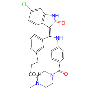 CN1CCN(C(=O)c2ccc(N/C(=C3\C(=O)Nc4cc(Cl)ccc43)c3cccc(CCC(=O)O)c3)cc2)CC1